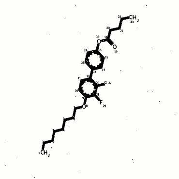 CCCCCCCCOc1ccc(-c2ccc(OC(=O)CCCC)cc2)c(F)c1F